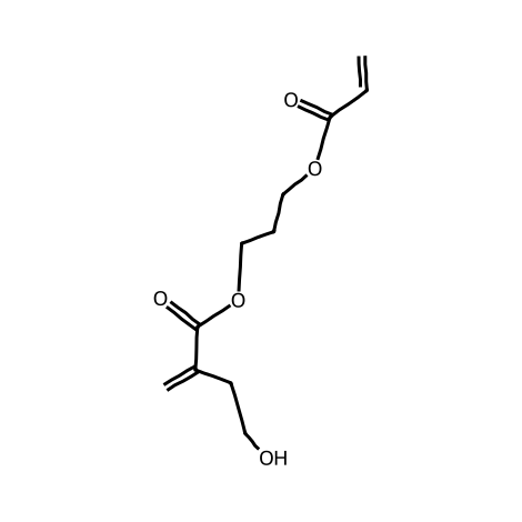 C=CC(=O)OCCCOC(=O)C(=C)CCO